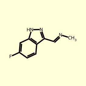 C/N=C/c1n[nH]c2cc(F)ccc12